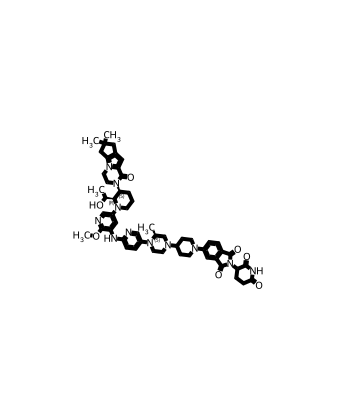 COc1ncc(N2CCC[C@H](N3CCn4c(cc5c4CC(C)(C)C5)C3=O)[C@@H]2C(C)O)cc1Nc1ccc(N2CCN(C3CCN(c4ccc5c(c4)C(=O)N(C4CCC(=O)NC4=O)C5=O)CC3)C[C@@H]2C)cn1